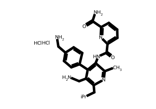 Cc1nc(CC(C)C)c(CN)c(-c2ccc(CN)cc2)c1NC(=O)c1cccc(C(N)=O)n1.Cl.Cl